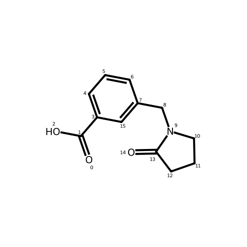 O=C(O)c1cccc(CN2CCCC2=O)c1